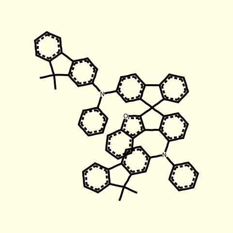 CC1(C)c2ccccc2-c2ccc(N(c3ccccc3)c3ccc4c(c3)C3(c5ccccc5-4)c4cccc(N(c5ccccc5)c5ccc6c(c5)C(C)(C)c5ccccc5-6)c4-c4c3oc3ccccc43)cc21